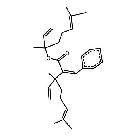 C=CC(C)(CCC=C(C)C)OC(=O)C(=Cc1ccccc1)C(C)(C=C)CCC=C(C)C